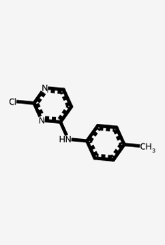 Cc1ccc(Nc2ccnc(Cl)n2)cc1